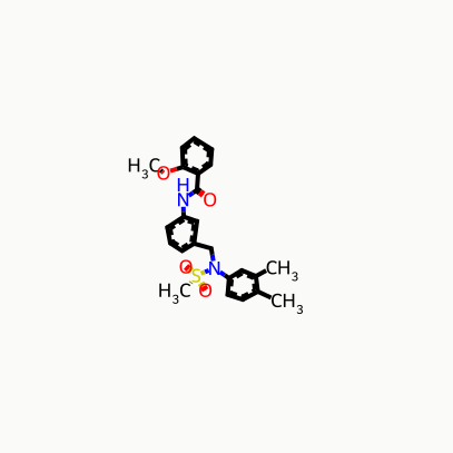 COc1ccccc1C(=O)Nc1cccc(CN(c2ccc(C)c(C)c2)S(C)(=O)=O)c1